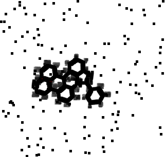 c1ccc(-c2nc3cccc4c3n2-c2cccc(-c3ccncc3)c2C4c2ccccc2)cc1